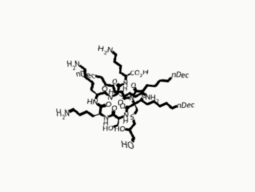 CCCCCCCCCCCCCCCC(=O)N(C(=O)CCCCCCCCCCCCCCC)[C@](CSCC(O)CO)(C(=O)CCCCCCCCCCCCCCC)C(=O)N[C@@H](CO)C(=O)N[C@@H](CCCCN)C(=O)N[C@@H](CCCCN)C(=O)N[C@@H](CCCCN)C(=O)N[C@@H](CCCCN)C(=O)O